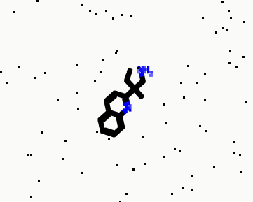 CCC(C)(CN)c1ccc2ccccc2n1